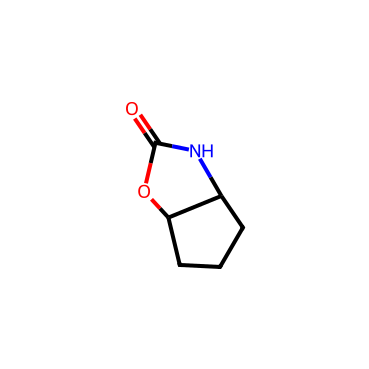 O=C1NC2CCCC2O1